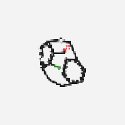 O=Cc1c2ccc(c1Br)CCc1ccc(cc1)CC2